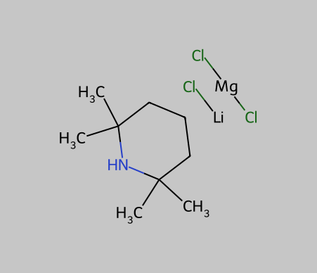 CC1(C)CCCC(C)(C)N1.[Cl][Mg][Cl].[Li][Cl]